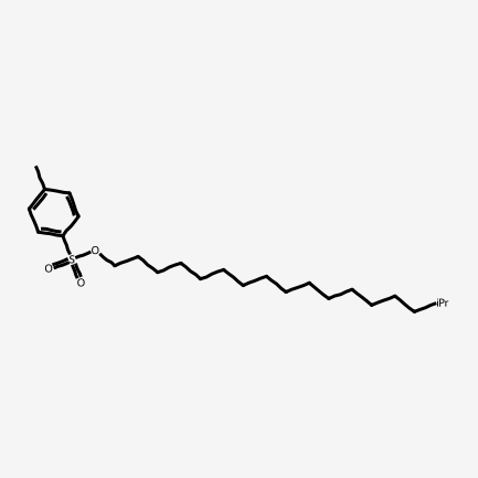 Cc1ccc(S(=O)(=O)OCCCCCCCCCCCCCCCC(C)C)cc1